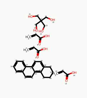 C=CC(=O)O.C=CC(=O)O.C=CC(=O)O.OCC(CO)(CO)CO.c1ccc2c(c1)ccc1c3c(ccc12)CCCC3